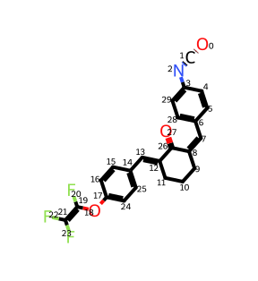 O=C=Nc1ccc(/C=C2/CCC/C(=C\c3ccc(OC(F)=C(F)F)cc3)C2=O)cc1